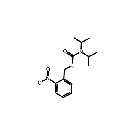 CC(C)N(C(=O)OCc1ccccc1[N+](=O)[O-])C(C)C